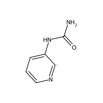 NC(=O)Nc1[c]nccc1